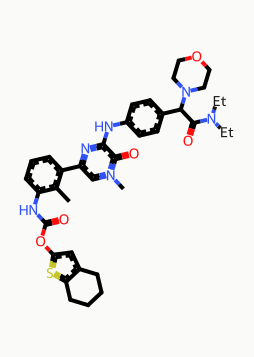 CCN(CC)C(=O)C(c1ccc(Nc2nc(-c3cccc(NC(=O)Oc4cc5c(s4)CCCC5)c3C)cn(C)c2=O)cc1)N1CCOCC1